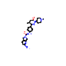 CC1CC(=O)N(C2CCN(C)CC2)N=C1c1ccc(NC(=O)N2Cc3ccc(N)nc3C2)cc1